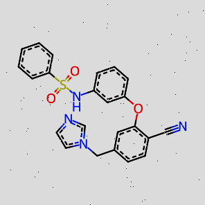 N#Cc1ccc(Cn2ccnc2)cc1Oc1cccc(NS(=O)(=O)c2ccccc2)c1